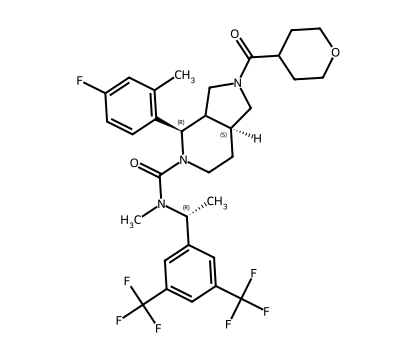 Cc1cc(F)ccc1[C@H]1C2CN(C(=O)C3CCOCC3)C[C@H]2CCN1C(=O)N(C)[C@H](C)c1cc(C(F)(F)F)cc(C(F)(F)F)c1